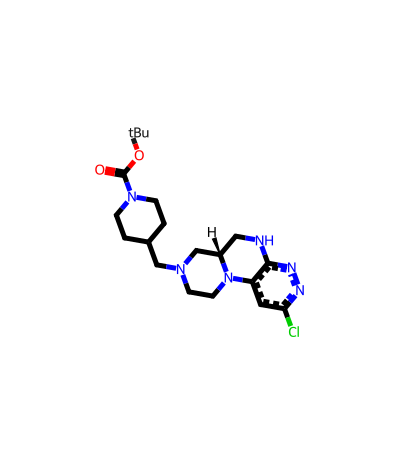 CC(C)(C)OC(=O)N1CCC(CN2CCN3c4cc(Cl)nnc4NC[C@H]3C2)CC1